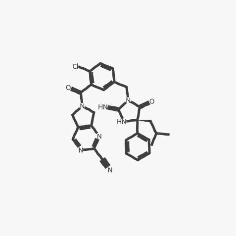 CC(C)C[C@@]1(c2ccccc2)NC(=N)N(Cc2ccc(Cl)c(C(=O)N3Cc4cnc(C#N)nc4C3)c2)C1=O